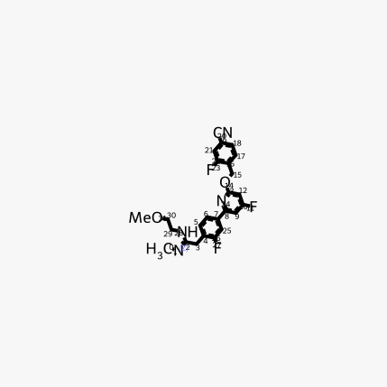 C/N=C(/Cc1ccc(-c2cc(F)cc(OCc3ccc(C#N)cc3F)n2)cc1F)NCCOC